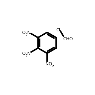 O=CCl.O=[N+]([O-])c1cccc([N+](=O)[O-])c1[N+](=O)[O-]